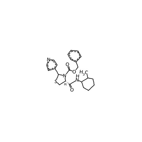 CC1CCCCC1NC(=O)[C@@H]1CSC(c2ccncc2)N1C(=O)OCc1ccccc1